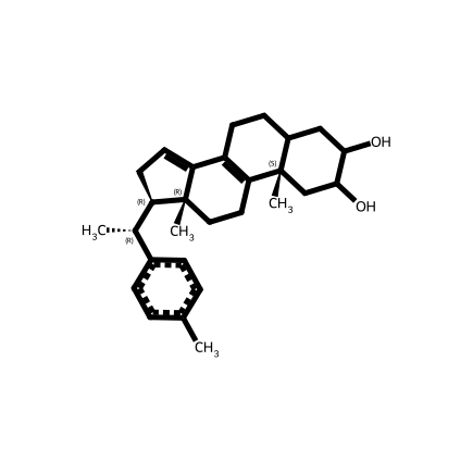 Cc1ccc([C@H](C)[C@H]2CC=C3C4=C(CC[C@@]32C)[C@@]2(C)CC(O)C(O)CC2CC4)cc1